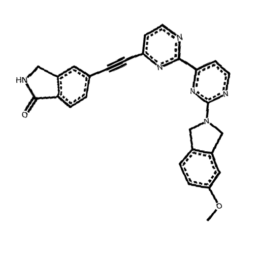 COc1ccc2c(c1)CN(c1nccc(-c3nccc(C#Cc4ccc5c(c4)CNC5=O)n3)n1)C2